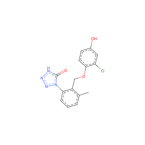 Cc1cccc(-n2nn[nH]c2=O)c1COc1ccc(O)cc1Cl